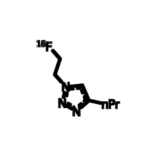 CCCc1cn(CC[18F])nn1